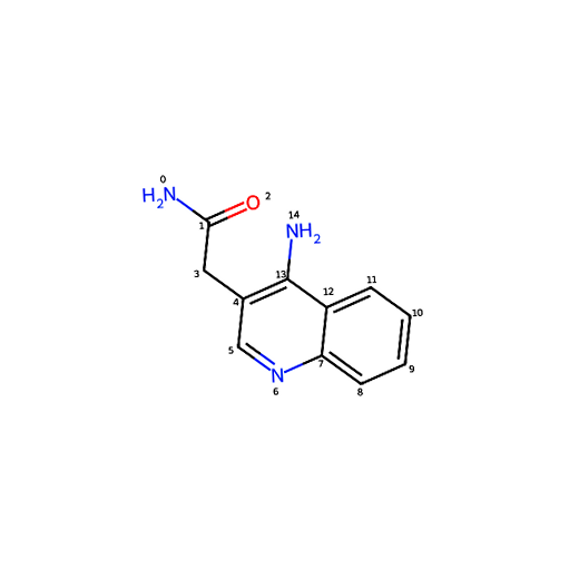 NC(=O)Cc1cnc2ccccc2c1N